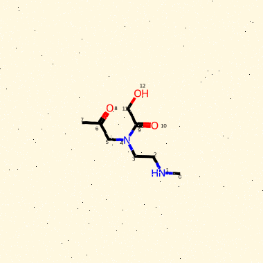 CNCCN(CC(C)=O)C(=O)CO